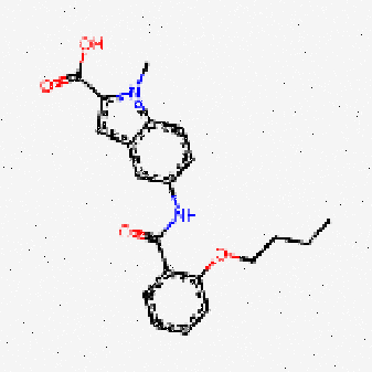 CCCCOc1ccccc1C(=O)Nc1ccc2c(c1)cc(C(=O)O)n2C